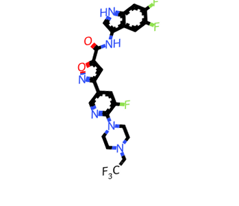 O=C(Nc1c[nH]c2cc(F)c(F)cc12)c1cc(-c2cnc(N3CCN(CC(F)(F)F)CC3)c(F)c2)no1